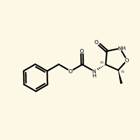 C[C@@H]1ONC(=O)[C@H]1NC(=O)OCc1ccccc1